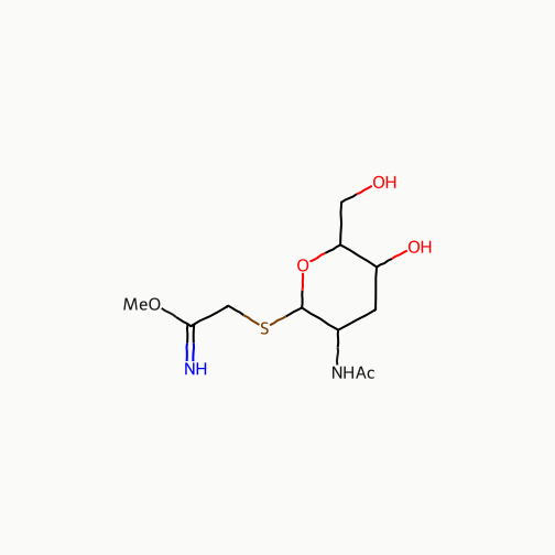 COC(=N)CSC1OC(CO)C(O)CC1NC(C)=O